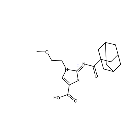 COCCn1cc(C(=O)O)s/c1=N\C(=O)C12CC3CC(CC(C3)C1)C2